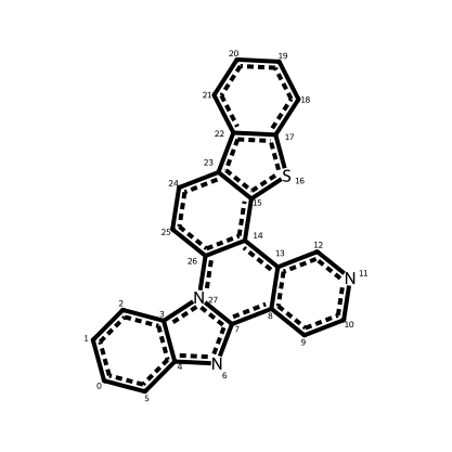 c1ccc2c(c1)nc1c3ccncc3c3c4sc5ccccc5c4ccc3n21